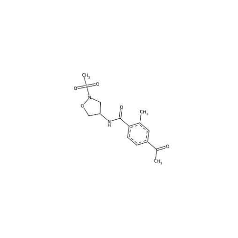 CC(=O)c1ccc(C(=O)NC2CON(S(C)(=O)=O)C2)c(C)c1